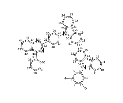 Cc1cc(C)cc(-n2c3ccccc3c3cc(-c4ccc5c6ccccc6n(-c6ccc(-c7nc(-c8ccccc8)c8ccccc8n7)cc6)c5c4)ccc32)c1